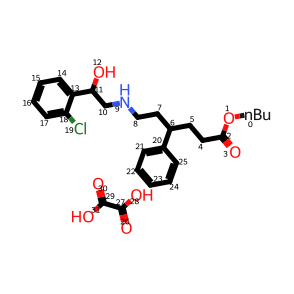 CCCCOC(=O)CCC(CCNCC(O)c1ccccc1Cl)c1ccccc1.O=C(O)C(=O)O